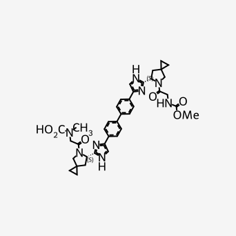 COC(=O)NCC(=O)N1CC2(CC2)C[C@H]1c1nc(-c2ccc(-c3ccc(-c4c[nH]c([C@@H]5CC6(CC6)CN5C(=O)CN(C)C(=O)O)n4)cc3)cc2)c[nH]1